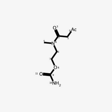 CC(=O)CC(=O)N(C)CCOC(N)=O